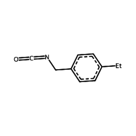 CCc1ccc(CN=C=O)cc1